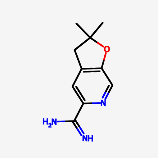 CC1(C)Cc2cc(C(=N)N)ncc2O1